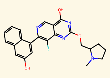 CN1CCCC1COc1nc(O)c2cnc(-c3cc(O)cc4ccccc34)c(F)c2n1